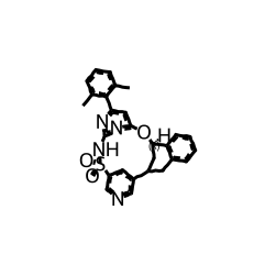 Cc1cccc(C)c1-c1cc2nc(n1)NS(=O)(=O)c1cncc(c1)C1Cc3ccccc3[C@@H](C1)O2